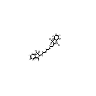 CN1/C(=C/C=C/C=C/C=C/C2N(C)c3ccccc3C2(C)C)C(C)(C)c2ccccc21